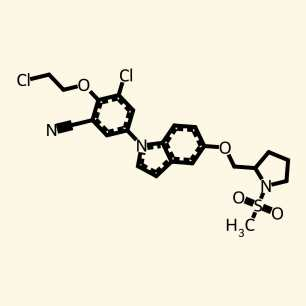 CS(=O)(=O)N1CCCC1COc1ccc2c(ccn2-c2cc(Cl)c(OCCCl)c(C#N)c2)c1